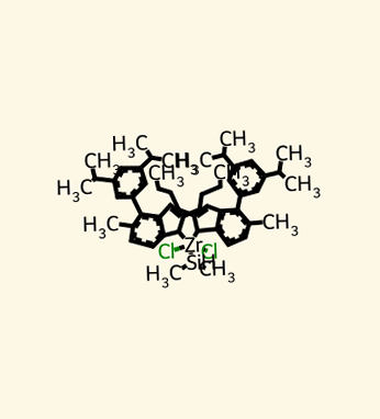 CCCCC1=Cc2c(ccc(C)c2-c2cc(C(C)C)cc(C(C)C)c2)[CH]1[Zr]([Cl])([Cl])([CH]1C(CCCC)=Cc2c1ccc(C)c2-c1cc(C(C)C)cc(C(C)C)c1)[SiH](C)C